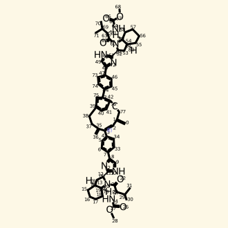 C=C1/C=C(/c2ccc(-c3c[nH]c([C@@H]4C[C@@H]5CCCC[C@@H]5N4C(=O)[C@@H](NC(=O)OC)C(C)C)n3)cc2)C(=C)CCc2ccc(c(-c3ccc(-c4c[nH]c([C@@H]5C[C@@H]6CCCC[C@@H]6N5C(=O)[C@@H](NC(=O)OC)C(C)C)n4)cc3)c2)CC1